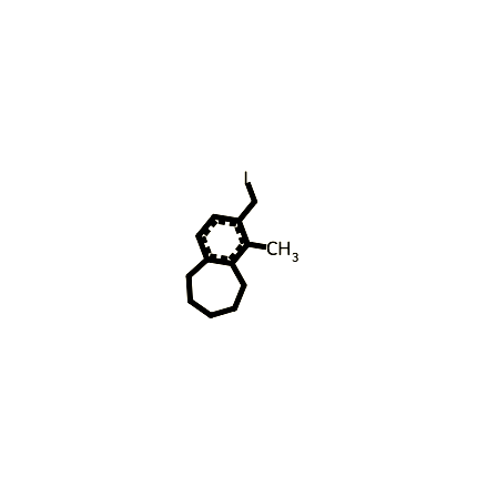 Cc1c(CI)ccc2c1CCCCC2